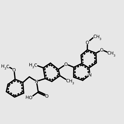 COc1ccccc1CN(C(=O)O)c1cc(C)c(Oc2ccnc3cc(OC)c(OC)cc23)cc1C